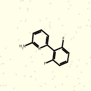 Nc1cccc(-c2c(F)cccc2F)n1